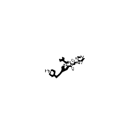 CC(C)c1nn(CC(=O)Nc2ccncn2)c(=O)c2cc(CC3CCNCC3)cn12